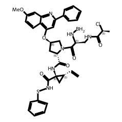 BN[C@@H](CNC(=O)[C@H](C)Cl)C(=O)N1C[C@H](Oc2cc(-c3ccccc3)nc3cc(OC)ccc23)C[C@H]1C(=O)N[C@]1(C(=O)NSc2ccccc2)C[C@H]1C=C